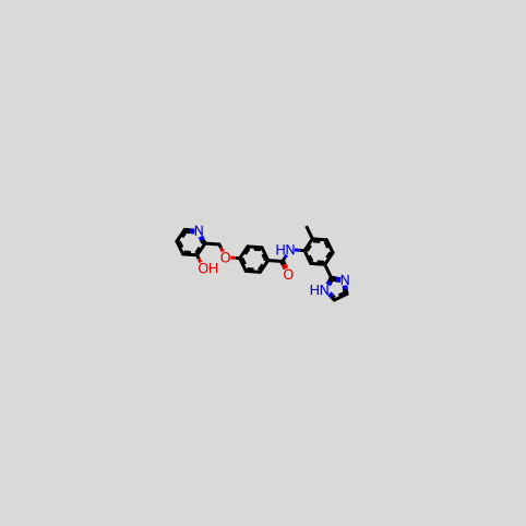 Cc1ccc(-c2ncc[nH]2)cc1NC(=O)c1ccc(OCc2ncccc2O)cc1